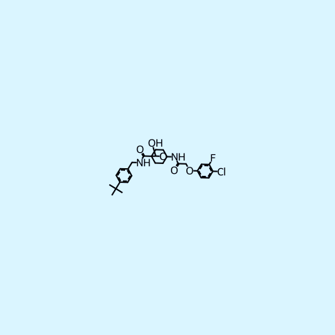 CC(C)(C)c1ccc(CNC(=O)C23CCC(NC(=O)COc4ccc(Cl)c(F)c4)(CC2)CC3O)cc1